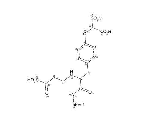 CCCCCNC(=O)C(Cc1ccc(OC(C(=O)O)C(=O)O)cc1)NCCC(=O)C(=O)O